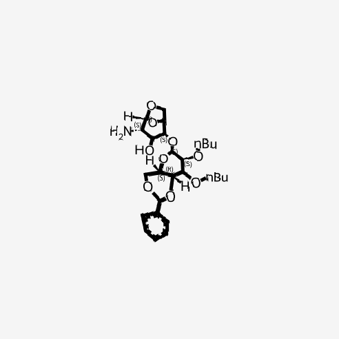 CCCCOC1[C@H](OCCCC)[C@H](O[C@@H]2C3CO[C@H](O3)[C@@H](N)C2O)O[C@H]2COC(c3ccccc3)O[C@@H]12